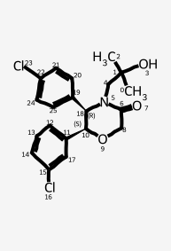 CC(C)(O)CN1C(=O)CO[C@@H](c2cccc(Cl)c2)[C@H]1c1ccc(Cl)cc1